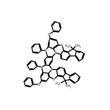 CC1(C)c2ccccc2-c2ccc3c(c21)Sc1cc(Oc2ccccc2)cc2c1B3c1cc3c(cc1N2c1ccccc1)N(c1ccccc1)c1cc(Oc2ccccc2)cc2c1B3c1ccc3c(c1S2)C(C)(C)c1ccccc1-3